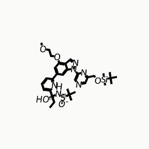 CC[C@@](O)(N[S@+]([O-])C(C)(C)C)c1cccc(-c2cc(OCCOC)c3cnn(-c4cncc(CO[Si](C)(C)C(C)(C)C)n4)c3c2)n1